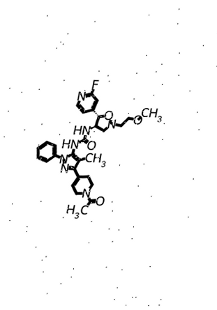 COCCN1C[C@@H](NC(=O)Nc2c(C)c(C3=CCN(C(C)=O)CC3)nn2-c2ccccc2)[C@H](c2ccnc(F)c2)O1